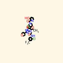 CC1OC2(CCN(C(=O)c3ncccc3O)CC2(F)F)c2c1n(CC(=O)Nc1ccc(C(F)(F)F)cc1Cl)c1nc(C3=CCOCC3)nn1c2=O